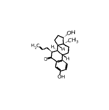 C=CC[C@@H]1C(=O)c2cc(O)ccc2[C@H]2CC[C@]3(C)[C@@H](O)CC[C@H]3[C@H]12